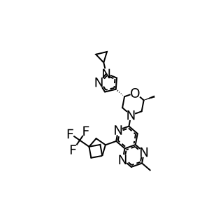 Cc1cnc2c(C3CC4(C(F)(F)F)CC3C4)nc(N3C[C@H](C)O[C@@H](c4cnn(C5CC5)c4)C3)cc2n1